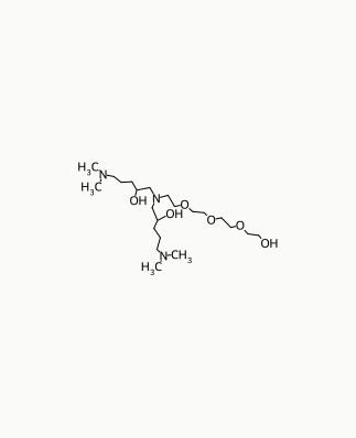 CN(C)CCCC(O)CN(CCOCCOCCOCCO)CC(O)CCCN(C)C